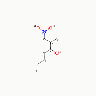 CCCCC(O)C(C)C[N+](=O)[O-]